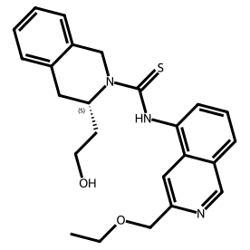 CCOCc1cc2c(NC(=S)N3Cc4ccccc4C[C@H]3CCO)cccc2cn1